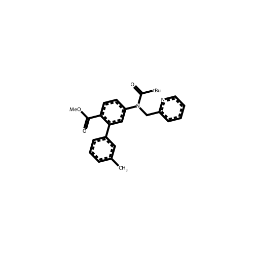 COC(=O)c1ccc(N(Cc2ccccn2)C(=O)C(C)(C)C)cc1-c1cccc(C)c1